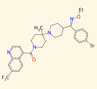 CCON=C(c1ccc(Br)cc1)C1CCN(C2(C)CCN(C(=O)c3ccnc4cc(C(F)(F)F)ccc34)CC2)CC1